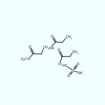 CCC(=O)O.CCC(=O)[O-].CCC(=O)[O-].O=S(=O)(O)O.[Cu+2]